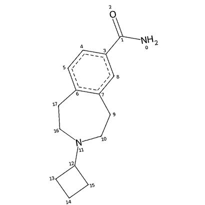 NC(=O)c1ccc2c(c1)CCN(C1CCC1)CC2